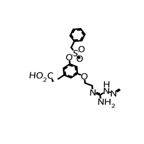 C=NNC(N)=NCCOc1cc(C)cc(OS(=O)(=O)Cc2ccccc2)c1.CC(=O)O